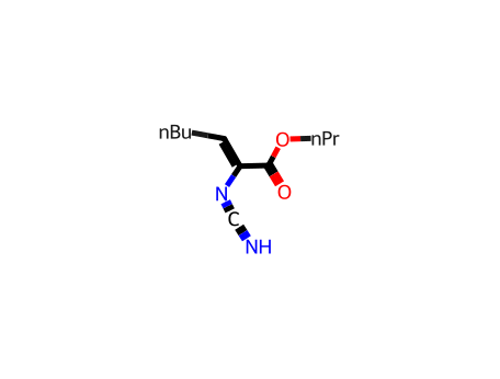 CCCCC=C(N=C=N)C(=O)OCCC